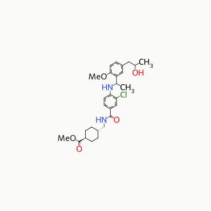 COc1ccc(CC(C)O)cc1C(C)Nc1ccc(C(=O)NC[C@H]2CC[C@H](C(=O)OC)CC2)cc1Cl